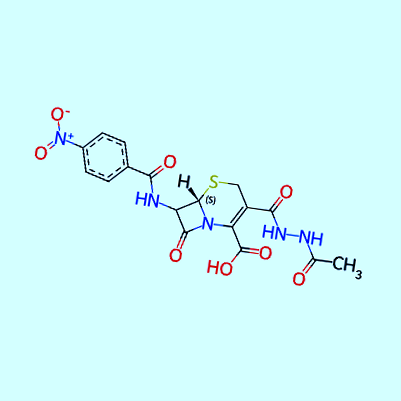 CC(=O)NNC(=O)C1=C(C(=O)O)N2C(=O)C(NC(=O)c3ccc([N+](=O)[O-])cc3)[C@@H]2SC1